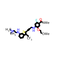 CNC(=O)c1cc(OCCOC)c(NCC#Cc2sc3c(NCCN(C)C)cccc3c2CC(F)(F)F)cc1F